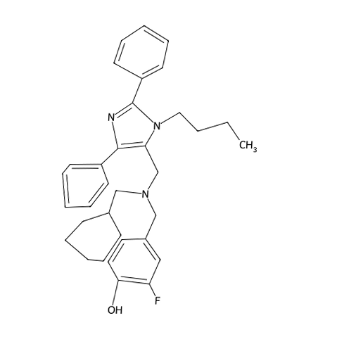 CCCCn1c(-c2ccccc2)nc(-c2ccccc2)c1CN(Cc1ccc(O)c(F)c1)CC1CCCCC1